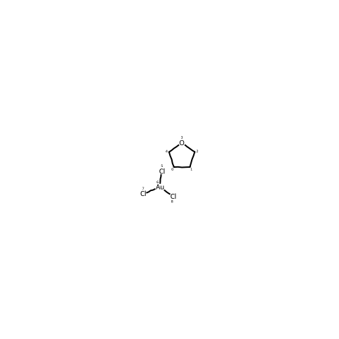 C1CCOC1.[Cl][Au]([Cl])[Cl]